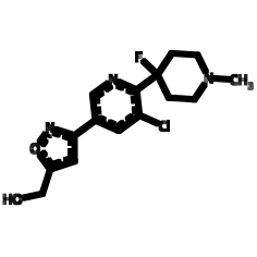 CN1CCC(F)(c2ncc(-c3cc(CO)on3)cc2Cl)CC1